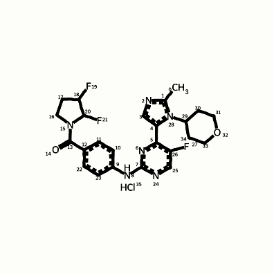 Cc1ncc(-c2nc(Nc3ccc(C(=O)N4CCC(F)C4F)cc3)ncc2F)n1C1CCOCC1.Cl